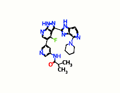 CC(C)C(=O)Nc1cncc(-c2cnc3[nH]nc(-c4nc5c(N6CCCCC6)nccc5[nH]4)c3c2F)c1